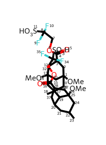 COC12CC(C(=O)OCC(F)(F)S(=O)(=O)O)CC(OC)(C1)CC(C)(C1C3CC(C)CC1(OC)CC(C(=O)OCC(F)(F)S(=O)(=O)O)C3)C2